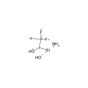 CCC(O)C(F)(F)F.Cl.N